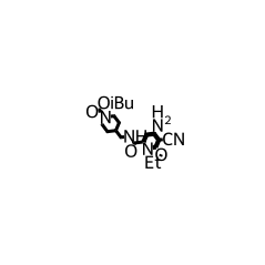 CCOc1nc(C(=O)NCC2CCN(C(=O)OCC(C)C)CC2)cc(N)c1C#N